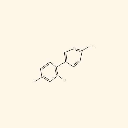 Cc1ccc(-c2ccc(Cl)[c]c2Cl)cn1